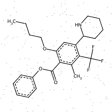 CCCCOc1cc(C2CCCCN2)c(C(F)(F)F)c(C)c1C(=O)Oc1ccccc1